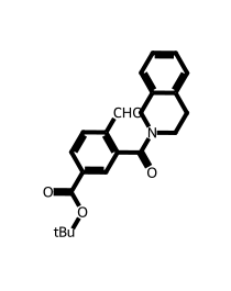 CC(C)(C)OC(=O)c1ccc(C=O)c(C(=O)N2CCc3ccccc3C2)c1